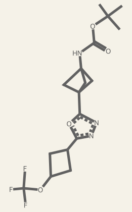 CC(C)(C)OC(=O)NC12CC(c3nnc(C4CC(OC(F)(F)F)C4)o3)(C1)C2